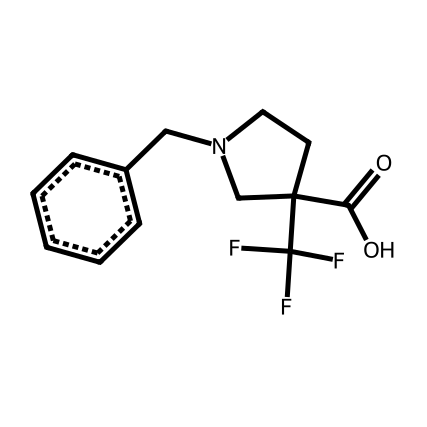 O=C(O)C1(C(F)(F)F)CCN(Cc2ccccc2)C1